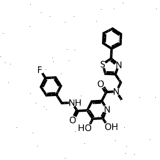 CN(Cc1csc(-c2ccccc2)n1)C(=O)c1cc(C(=O)NCc2ccc(F)cc2)c(O)c(O)n1